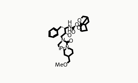 COCC1CCN(C(=O)N(CC(C)C)C[C@@H](O)[C@H](Cc2ccccc2)NC(=O)O[C@H]2C3COC4OC2CC4C3)CC1